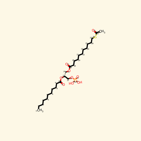 CCCCCCCCCCC(=O)O[C@H](COC(=O)CCCCCCCCCCSC(C)=O)COP(=O)(O)O